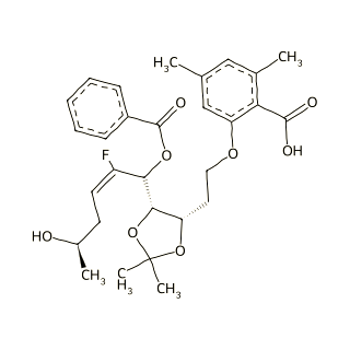 Cc1cc(C)c(C(=O)O)c(OCC[C@@H]2OC(C)(C)O[C@@H]2C(OC(=O)c2ccccc2)/C(F)=C\C[C@@H](C)O)c1